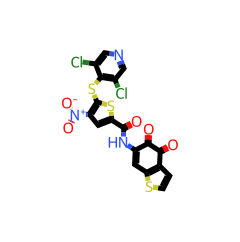 O=C1C(=O)c2ccsc2C=C1NC(=O)c1cc([N+](=O)[O-])c(Sc2c(Cl)cncc2Cl)s1